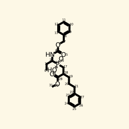 CCC(NC(=O)OCc1ccccc1)P(=O)(O)CC(CCCc1ccccc1)C(=O)OC